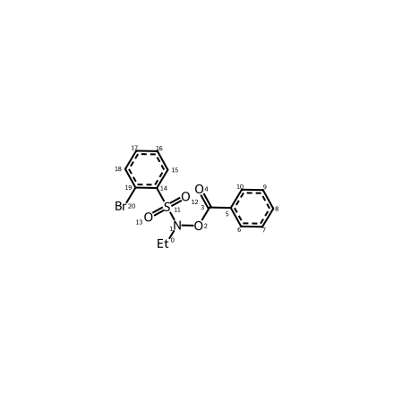 CCN(OC(=O)c1ccccc1)S(=O)(=O)c1ccccc1Br